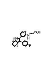 OCCCNc1cc(-c2[nH]c3nccnc3c2-c2ccc(F)cc2)ccn1